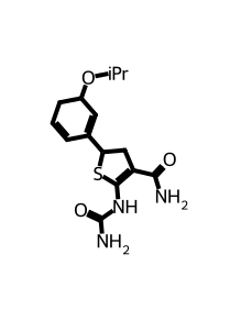 CC(C)OC1C=C(C2CC(C(N)=O)=C(NC(N)=O)S2)C=CC1